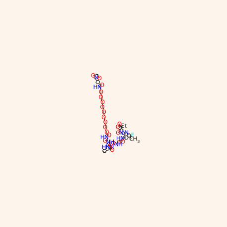 CC[C@H]1C(=O)OCc2c1cc1n(c2=O)Cc2c-1nc1cc(F)c(C)c3c1c2[C@@H](NC(=O)COCNC(=O)CNC(=O)[C@H](Cc1ccccc1)NC(=O)CNC(=O)CNC(=O)COCCOCCOCCOCCOCCOCCOCCOCCOCCNC(=O)C1CCC(CN2C(=O)C=CC2=O)CC1)CC3